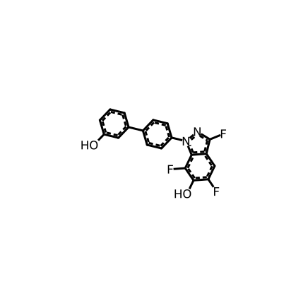 Oc1cccc(-c2ccc(-n3nc(F)c4cc(F)c(O)c(F)c43)cc2)c1